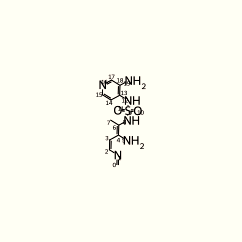 C=N/C=C\C(N)=C(/C)NS(=O)(=O)Nc1ccncc1N